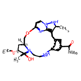 CCO[C@@H]1C[C@H]2COC3=NC4=C(c5cc(cc(C(=O)NC)c5)NCCN2C1(C)O)C(C)NN4C=C3